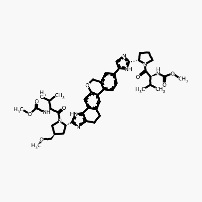 COC[C@@H]1C[C@@H](c2nc3c([nH]2)-c2cc4c(cc2CC3)-c2ccc(-c3cnc([C@@H]5CCCN5C(=O)[C@@H](NC(=O)OC)C(C)C)[nH]3)cc2CO4)N(C(=O)[C@@H](NC(=O)OC)C(C)C)C1